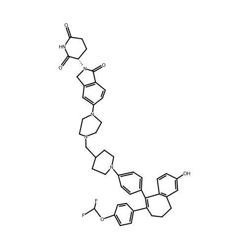 O=C1CC[C@H](N2Cc3cc(N4CCN(CC5CCN(c6ccc(C7=C(c8ccc(OC(F)F)cc8)CCCc8cc(O)ccc87)cc6)CC5)CC4)ccc3C2=O)C(=O)N1